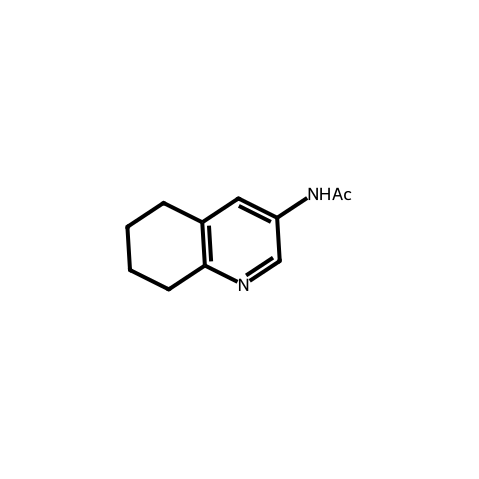 CC(=O)Nc1cnc2c(c1)CCCC2